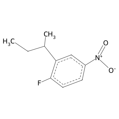 CCC(C)c1cc([N+](=O)[O-])ccc1F